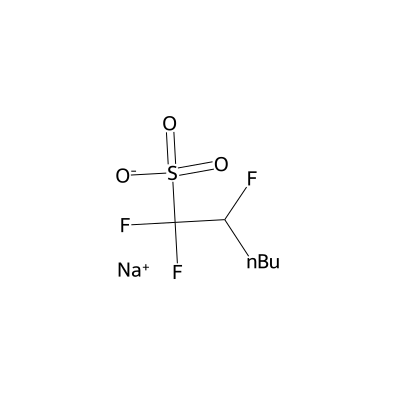 CCCCC(F)C(F)(F)S(=O)(=O)[O-].[Na+]